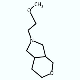 COCCN1CC2CCOCC2C1